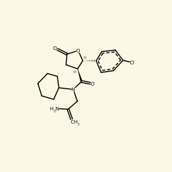 C=C(N)CN(C(=O)[C@H]1CC(=O)O[C@@H]1c1ccc(Cl)cc1)C1CCCCC1